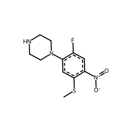 CSc1cc(N2CCNCC2)c(F)cc1[N+](=O)[O-]